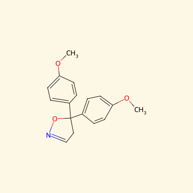 COc1ccc(C2(c3ccc(OC)cc3)CC=NO2)cc1